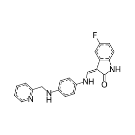 O=C1Nc2ccc(F)cc2C1=CNc1ccc(NCc2ccccn2)cc1